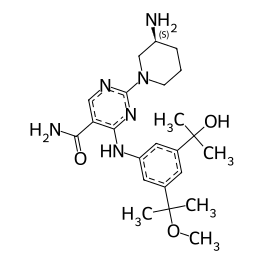 COC(C)(C)c1cc(Nc2nc(N3CCC[C@H](N)C3)ncc2C(N)=O)cc(C(C)(C)O)c1